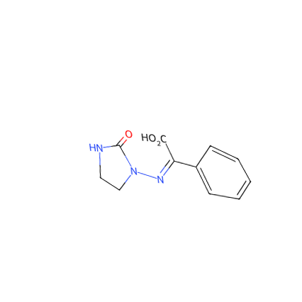 O=C(O)C(=NN1CCNC1=O)c1ccccc1